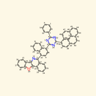 c1ccc(-c2nc(-c3ccc(-c4nc5c6ccccc6oc5c5ccccc45)c4ccccc34)nc(-c3ccc4ccc5cccc6ccc3c4c56)n2)cc1